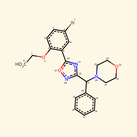 O=C(O)COc1ccc(Br)cc1-c1nc(C(c2ccccc2)N2CCOCC2)no1